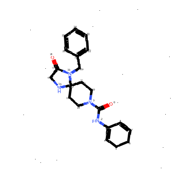 O=C(NC1=CCCC=C1)N1CCC2(CC1)NCC(=O)N2Cc1ccccc1